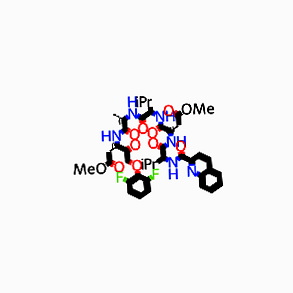 COC(=O)C[C@H](NC(=O)[C@H](C)NC(=O)C(NC(=O)[C@H](CC(=O)OC)NC(=O)C(NC(=O)c1ccc2ccccc2n1)C(C)C)C(C)C)C(=O)COc1c(F)cccc1F